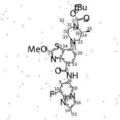 COc1nc2c(C(=O)Nc3cc(F)c4nc(C)cn4c3)ccc(N3C[C@H](C)N(C(=O)OC(C)(C)C)[C@@H](C)C3)c2s1